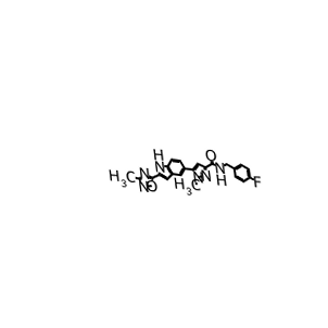 Cc1noc(-c2cc3cc(-c4cc(C(=O)NCc5ccc(F)cc5)nn4C)ccc3[nH]2)n1